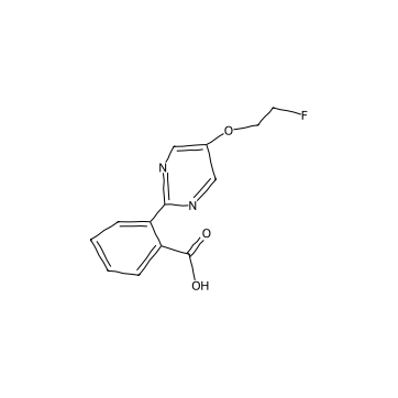 O=C(O)c1ccccc1-c1ncc(OCCF)cn1